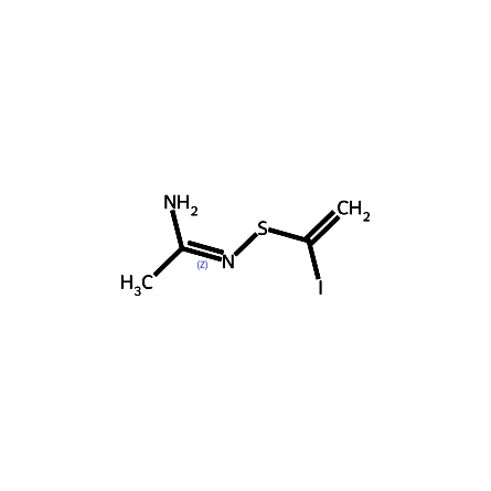 C=C(I)S/N=C(/C)N